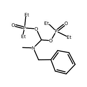 CCP(=O)(CC)OC(OP(=O)(CC)CC)N(C)Cc1ccccc1